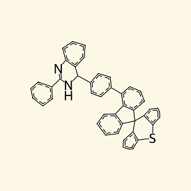 c1ccc(C2=Nc3ccccc3C(c3ccc(-c4cccc5c4-c4ccccc4C54c5ccccc5Sc5ccccc54)cc3)N2)cc1